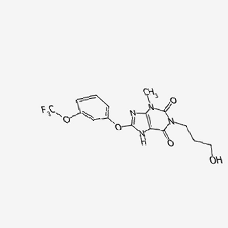 Cn1c(=O)n(CCCO)c(=O)c2[nH]c(Oc3cccc(OC(F)(F)F)c3)nc21